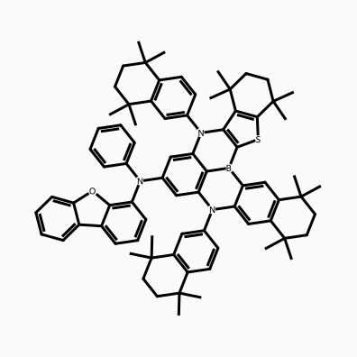 CC1(C)CCC(C)(C)c2cc(N3c4cc5c(cc4B4c6sc7c(c6N(c6ccc8c(c6)C(C)(C)CCC8(C)C)c6cc(N(c8ccccc8)c8cccc9c8oc8ccccc89)cc3c64)C(C)(C)CCC7(C)C)C(C)(C)CCC5(C)C)ccc21